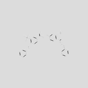 CC(C)(C)c1cc(C(=O)COc2ccc(C(=O)OCc3ccccc3)c(O)c2)ccc1OCc1ccccc1